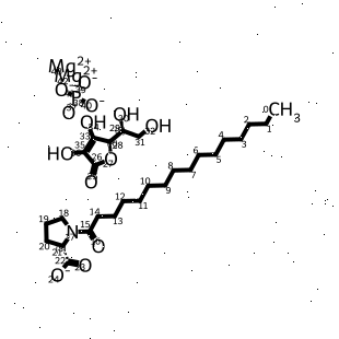 CCCCCCCCCCCCCCCC(=O)N1CCC[C@H]1C(=O)[O-].O=C1O[C@H]([C@@H](O)CO)C(O)=C1O.O=P([O-])([O-])[O-].[Mg+2].[Mg+2]